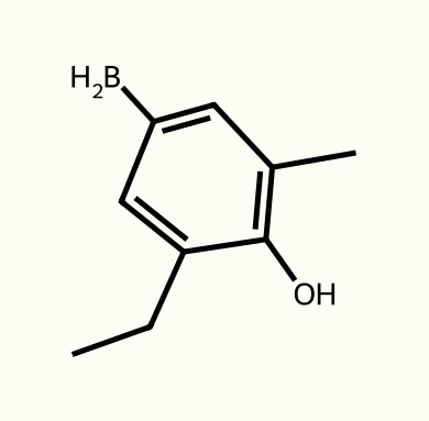 Bc1cc(C)c(O)c(CC)c1